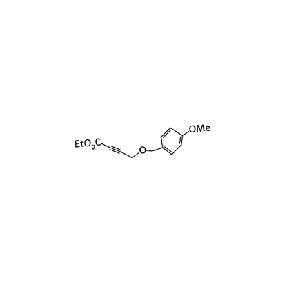 CCOC(=O)C#CCOCc1ccc(OC)cc1